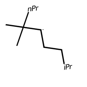 CCCC(C)(C)[CH]CCC(C)C